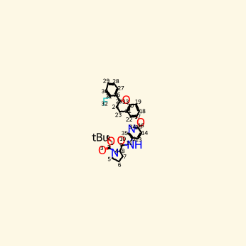 CC(C)(C)OC(=O)N1CCCC1C(=O)Nc1ccc(Oc2ccc3c(c2)CCC(c2ccccc2F)O3)nc1